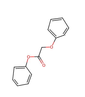 O=C(COc1[c]cccc1)Oc1ccccc1